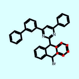 BrC12c3ccccc3C(c3nc(-c4ccccc4)cc(-c4cccc(-c5ccccc5)c4)n3)(c3ccccc31)c1ccccc12